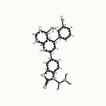 CC(N(C)C)n1c(=O)oc2cc(-c3cc(-c4cccc(Br)c4)c4c(N)ncnc4n3)ccc21